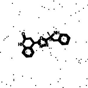 C[C@](N)(Cc1ccccc1)c1nnc(C2CC(=O)Nc3ccccc32)o1